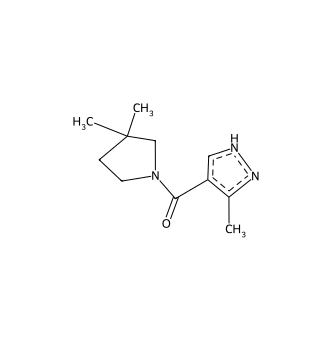 Cc1n[nH]cc1C(=O)N1CCC(C)(C)C1